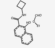 CCOC=O.O=C(NC1CCC1)c1ccc2ccccc2c1O